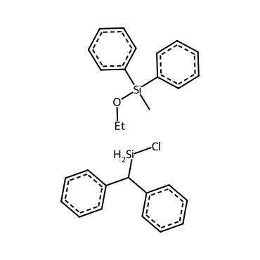 CCO[Si](C)(c1ccccc1)c1ccccc1.Cl[SiH2]C(c1ccccc1)c1ccccc1